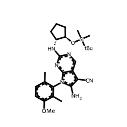 COc1ccc(C)c(-n2c(N)c(C#N)c3cnc(N[C@@H]4CCC[C@H]4O[Si](C)(C)C(C)(C)C)nc32)c1C